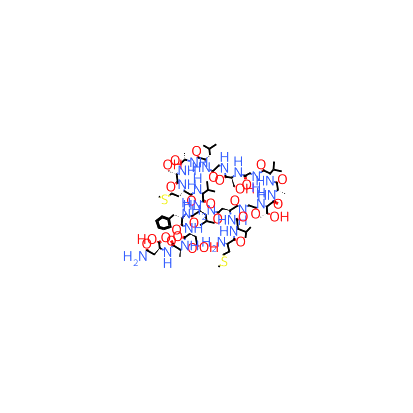 CSCC[C@H](NC(=O)[C@H](CO)NC(=O)[C@H](C)NC(=O)[C@H](CC(C)C)NC(=O)CNC(=O)[C@H](CO)NC(=O)CNC(=O)[C@@H](NC(=O)[C@H](C)NC(=O)[C@@H](NC(=O)CNC(=O)[C@H](CC(N)=O)NC(=O)[C@@H](NC(=O)[C@@H](N)CCSC)C(C)C)[C@@H](C)O)C(C)C)C(=O)N[C@H](C(=O)N[C@@H](CC(C)C)C(=O)N[C@@H](Cc1ccccc1)C(=O)N[C@@H](CC(=O)O)C(=O)N[C@@H](C)C(=O)N[C@@H](CC(N)=O)C(=O)O)C(C)C